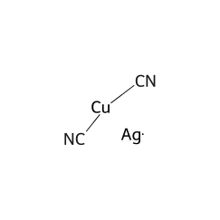 N#[C][Cu][C]#N.[Ag]